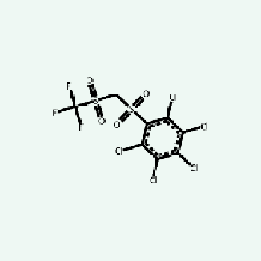 O=S(=O)(CS(=O)(=O)C(F)(F)F)c1c(Cl)c(Cl)c(Cl)c(Cl)c1Cl